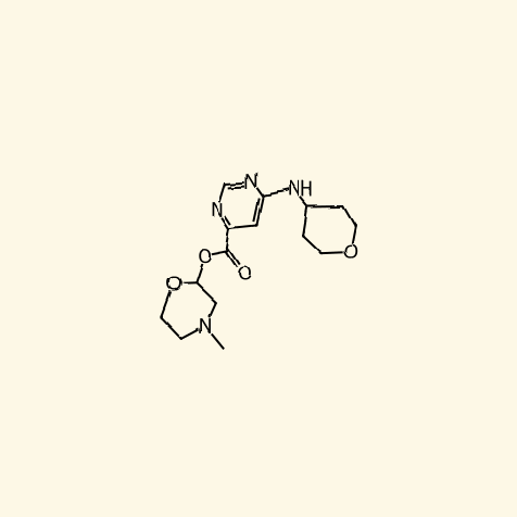 CN1CCOC(OC(=O)c2cc(NC3CCOCC3)ncn2)C1